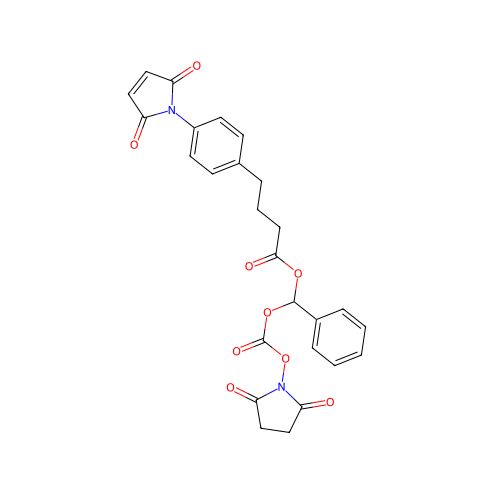 O=C(CCCc1ccc(N2C(=O)C=CC2=O)cc1)OC(OC(=O)ON1C(=O)CCC1=O)c1ccccc1